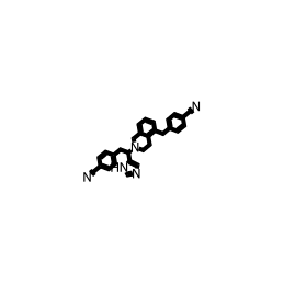 N#Cc1ccc(Cc2cccc3c2CCN(C(Cc2ccc(C#N)cc2)c2cnc[nH]2)C3)cc1